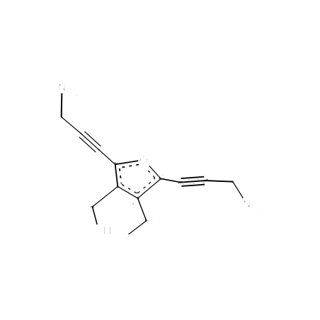 NCC#Cc1oc(C#CCN)c(CO)c1CO